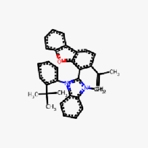 C=C(C)c1ccc2c(oc3ccccc32)c1-c1n(-c2ccccc2C(C)(C)C)c2ccccc2[n+]1C